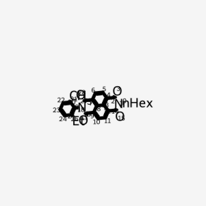 CCCCCCN1C(=O)c2ccc3c4c(ccc(c24)C1=O)C(=O)N(c1c(C)cccc1CC)C3=O